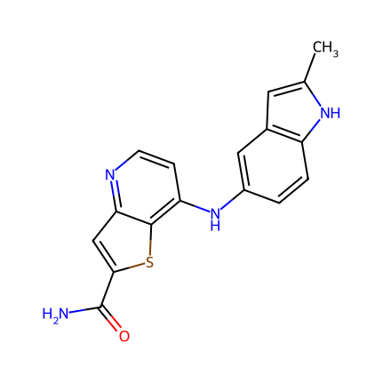 Cc1cc2cc(Nc3ccnc4cc(C(N)=O)sc34)ccc2[nH]1